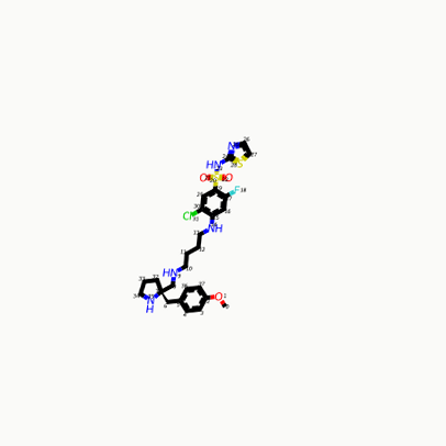 COc1ccc(C[C@]2(CNCCCCNc3cc(F)c(S(=O)(=O)Nc4nccs4)cc3Cl)CCCN2)cc1